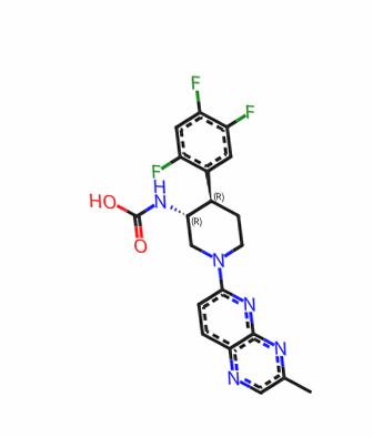 Cc1cnc2ccc(N3CC[C@H](c4cc(F)c(F)cc4F)[C@@H](NC(=O)O)C3)nc2n1